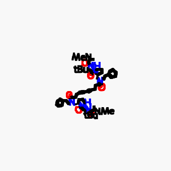 CN[C@@H](C)C(=O)N[C@H](C(=O)N1CCC[C@H]1CN(CCc1ccccc1)C(=O)CCC#CC#CCCC(=O)N(CCc1ccccc1)C[C@@H]1CCCN1C(=O)[C@@H](NC(=O)[C@H](C)NC)C(C)(C)C)C(C)(C)C